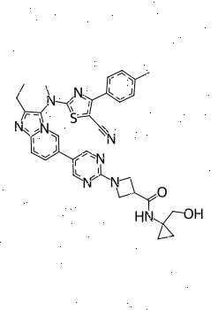 CCc1nc2ccc(-c3cnc(N4CC(C(=O)NC5(CO)CC5)C4)nc3)cn2c1N(C)c1nc(-c2ccc(C)cc2)c(C#N)s1